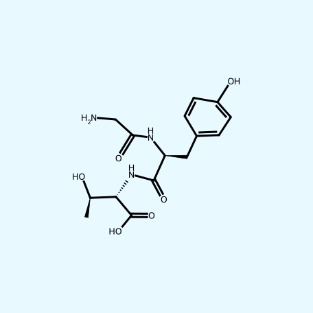 C[C@@H](O)[C@H](NC(=O)[C@H](Cc1ccc(O)cc1)NC(=O)CN)C(=O)O